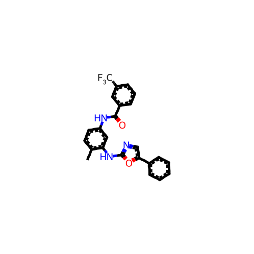 Cc1ccc(NC(=O)c2cccc(C(F)(F)F)c2)cc1Nc1ncc(-c2ccccc2)o1